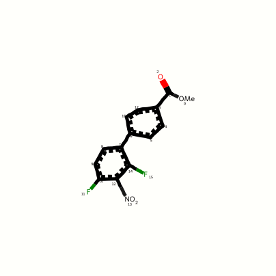 COC(=O)c1ccc(-c2ccc(F)c([N+](=O)[O-])c2F)cc1